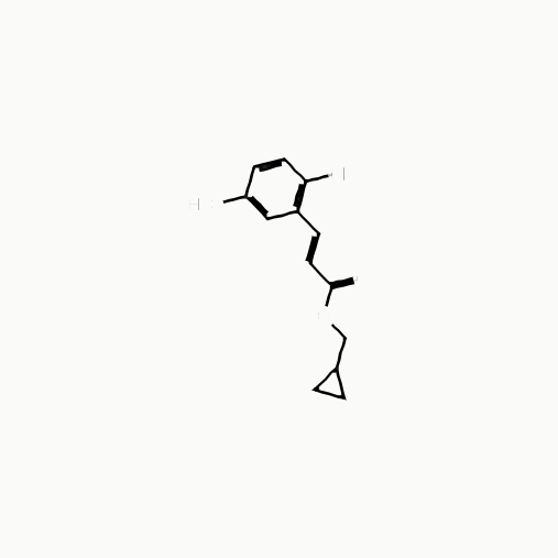 Cc1ccc(Cl)c(C=CC(=O)OCC2CC2)c1